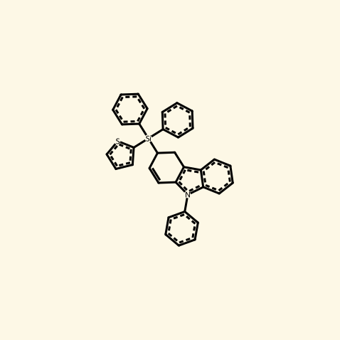 C1=CC([Si](c2ccccc2)(c2ccccc2)c2cccs2)Cc2c1n(-c1ccccc1)c1ccccc21